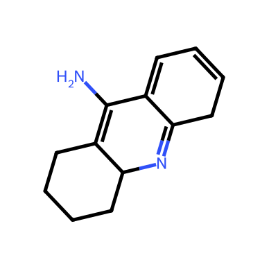 NC1=C2CCCCC2N=C2CC=CC=C21